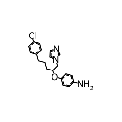 Nc1ccc(OC(CCCc2ccc(Cl)cc2)Cn2ccnc2)cc1